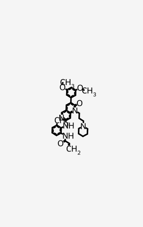 C=CC(=O)Nc1cccc(C)c1Nc1cc2c(cn1)cc(-c1cc(OC)cc(OC)c1)c(=O)n2CCCN1CCCCC1